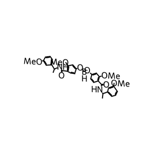 COc1cccc(C(C)NC(=O)c2ccc(OBOc3ccc(C(=O)NC(C)c4cccc(OC)c4)c(OC)c3)cc2OC)c1